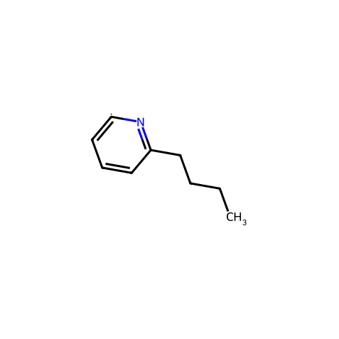 CCCCc1ccc[c]n1